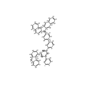 c1ccc(-c2nc(-c3cccc(-c4ccc(-n5c6cc7ccccc7cc6c6c7ccccc7ccc65)cc4)c3)nc(-c3cccc4sc5ccccc5c34)n2)cc1